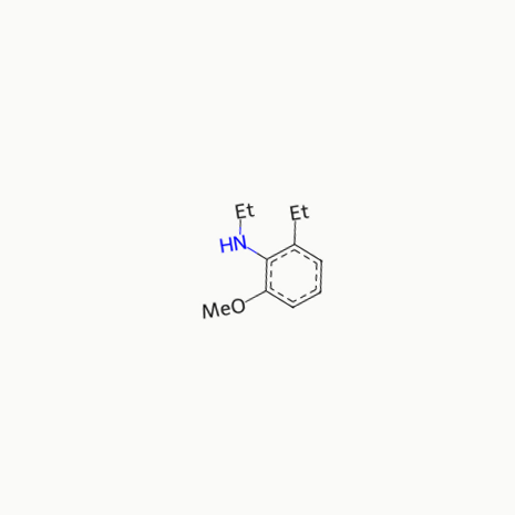 CCNc1c(CC)cccc1OC